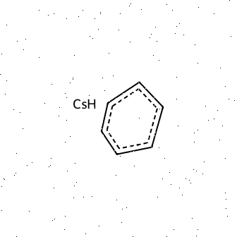 [CsH].c1ccccc1